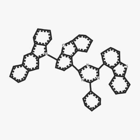 c1ccc(-c2nc(-c3cccc4sc5ccccc5c34)nc(-c3ccc(-n4c5ccccc5c5cc6ccccc6cc54)c4oc5ccccc5c34)n2)cc1